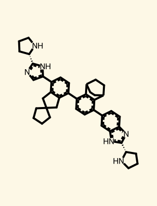 c1cc2nc([C@@H]3CCCN3)[nH]c2cc1-c1ccc(-c2ccc(-c3cnc([C@@H]4CCCN4)[nH]3)c3c2CC2(CCCC2)C3)c2c1C1CCC2CC1